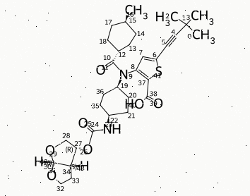 CC(C)(C)C#Cc1cc(N(C(=O)[C@H]2CC[C@H](C)CC2)[C@H]2CC[C@@H](NC(=O)O[C@H]3CO[C@H]4OCC[C@H]43)CC2)c(C(=O)O)s1